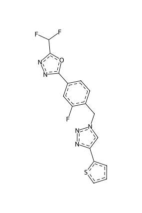 Fc1cc(-c2nnc(C(F)F)o2)ccc1Cn1cc(-c2cccs2)nn1